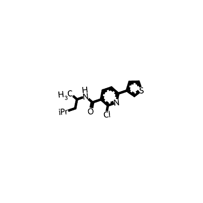 CC(C)CC(C)NC(=O)c1ccc(-c2ccsc2)nc1Cl